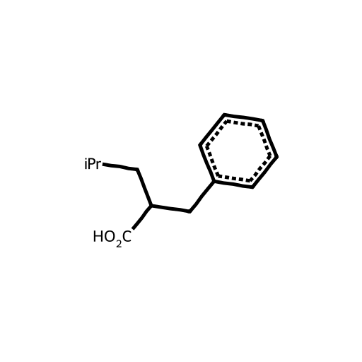 CC(C)CC(Cc1ccccc1)C(=O)O